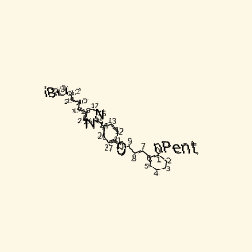 CCCCCC1CCCCC1CCCOc1ccc(-c2ncc(CCCC[C@@H](C)CC)cn2)cc1